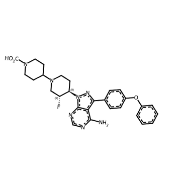 Nc1ncnc2c1c(-c1ccc(Oc3ccccc3)cc1)nn2[C@@H]1CCN(C2CCN(C(=O)O)CC2)C[C@H]1F